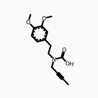 CC#CCN(CCc1ccc(OC)c(OC)c1)C(=O)O